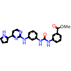 COC(=O)c1cccc(NC(=O)Nc2cccc(Nc3nccc(-c4ccc[nH]4)n3)c2)c1